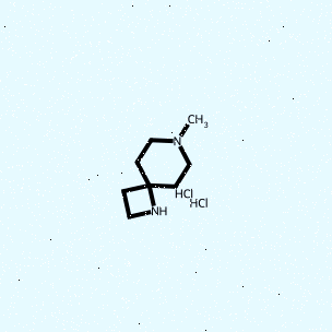 CN1CCC2(CCN2)CC1.Cl.Cl